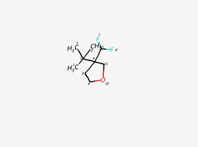 CC(C)(C)C1(C(F)F)CCOC1